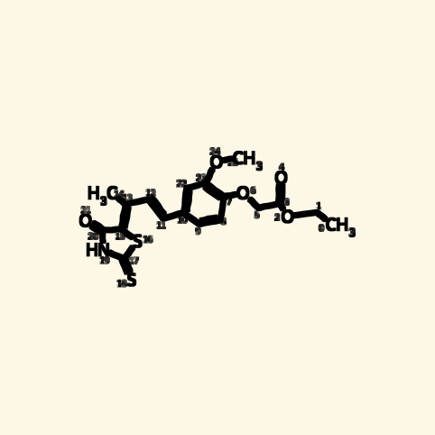 CCOC(=O)COc1ccc(C=CC(C)=C2SC(=S)NC2=O)cc1OC